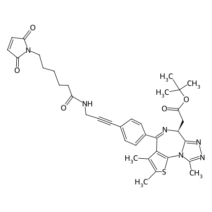 Cc1sc2c(c1C)C(c1ccc(C#CCNC(=O)CCCCCN3C(=O)C=CC3=O)cc1)=N[C@@H](CC(=O)OC(C)(C)C)c1nnc(C)n1-2